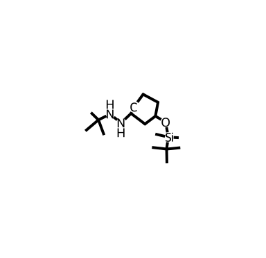 CC(C)(C)NNC1CCCC(O[Si](C)(C)C(C)(C)C)C1